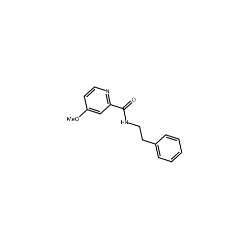 COc1ccnc(C(=O)NCCc2ccccc2)c1